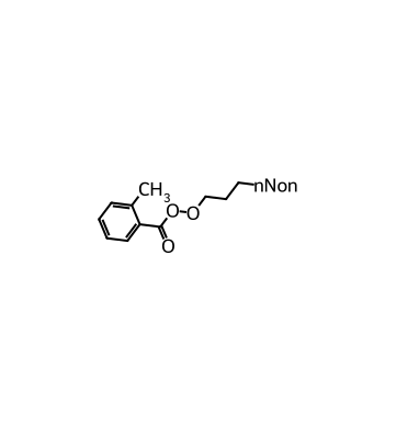 CCCCCCCCCCCCOOC(=O)c1ccccc1C